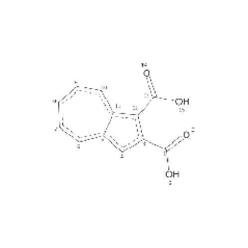 O=C(O)c1cc2cccccc-2c1C(=O)O